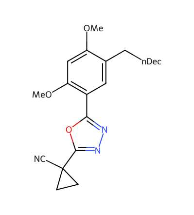 CCCCCCCCCCCc1cc(-c2nnc(C3(C#N)CC3)o2)c(OC)cc1OC